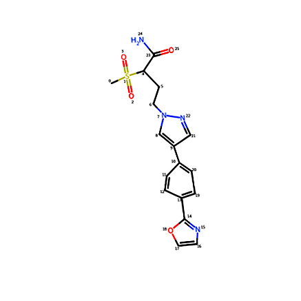 CS(=O)(=O)C(CCn1cc(-c2ccc(-c3ncco3)cc2)cn1)C(N)=O